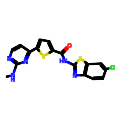 CNc1nccc(-c2ccc(C(=O)Nc3nc4ccc(Cl)cc4s3)s2)n1